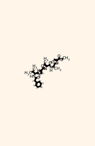 COC(=O)c1coc([C@H](C)NC(=O)c2nc(-c3csc([C@@H](NC(=O)CC4=CCCCC4)C(C)C)n3)oc2C)n1